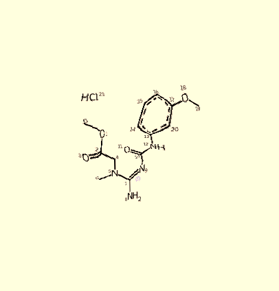 COC(=O)CN(C)/C(N)=N\C(=O)Nc1cccc(OC)c1.Cl